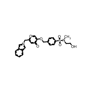 CN(CCO)S(=O)(=O)c1ccc(COc2coc(Cn3cc4ccccc4c3)cc2=O)cc1